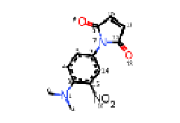 CN(C)c1ccc(N2C(=O)C=CC2=O)cc1[N+](=O)[O-]